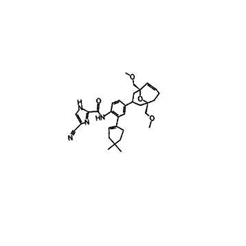 COC[C@]12C=CCC[C@](COC)(CC(c3ccc(NC(=O)c4nc(C#N)c[nH]4)c(C4=CCC(C)(C)CC4)c3)C1)O2